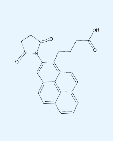 O=C(O)CCCc1c(N2C(=O)CCC2=O)cc2ccc3cccc4ccc1c2c34